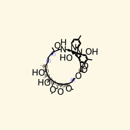 COC(=O)[C@H]1[C@@H](C)[C@@H](OC)/C=C/O[C@@]2(C)Oc3c(C)c(O)c4c(O)c(c5c(nc6cc(C)ccn65)c4c3C2=O)NC(=O)/C(C)=C\C=C\[C@@H](C)[C@@H](O)[C@@H](C)[C@H](O)[C@@H]1C